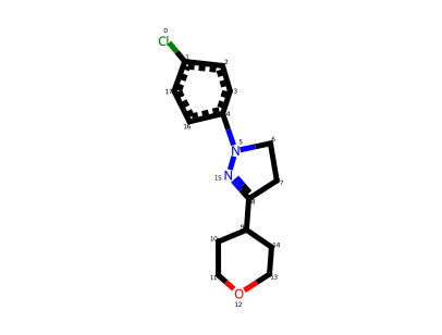 Clc1ccc(N2CCC(C3CCOCC3)=N2)cc1